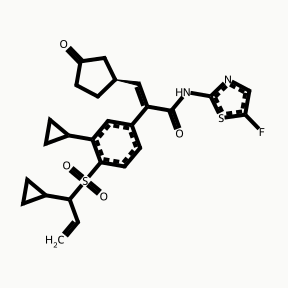 C=CC(C1CC1)S(=O)(=O)c1ccc(/C(=C\[C@H]2CCC(=O)C2)C(=O)Nc2ncc(F)s2)cc1C1CC1